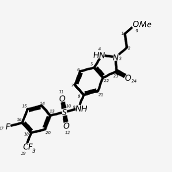 COCCn1[nH]c2ccc(NS(=O)(=O)c3ccc(F)c(C(F)(F)F)c3)cc2c1=O